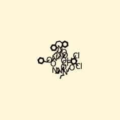 CCCN(CCOc1c(Cl)cc(Cl)cc1Cl)C(=O)n1ccnc1.O=C(O)[C@@H]1CN(C(=O)OCc2ccccc2)CCN1C(=O)N1c2ccccc2CCc2ccccc21